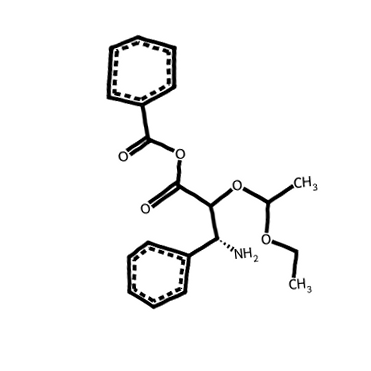 CCOC(C)OC(C(=O)OC(=O)c1ccccc1)[C@H](N)c1ccccc1